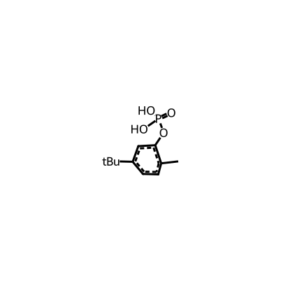 Cc1ccc(C(C)(C)C)cc1OP(=O)(O)O